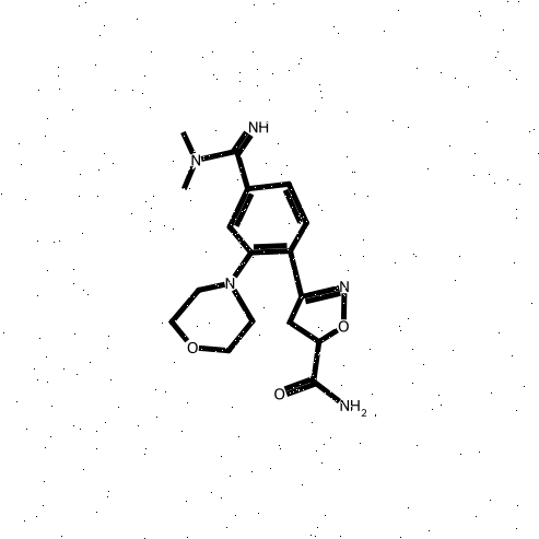 CN(C)C(=N)c1ccc(C2=NOC(C(N)=O)C2)c(N2CCOCC2)c1